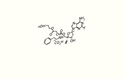 C#C[C@]1(CO[P@@](=O)(N[C@@H](Cc2ccccc2)C(=O)O)OCC(=O)OCCCCCCCCCCCC)O[C@@H](n2cnc3c(N)nc(F)nc32)C[C@@H]1O